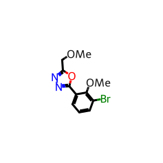 COCc1nnc(-c2cccc(Br)c2OC)o1